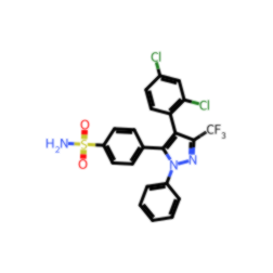 NS(=O)(=O)c1ccc(-c2c(-c3ccc(Cl)cc3Cl)c(C(F)(F)F)nn2-c2ccccc2)cc1